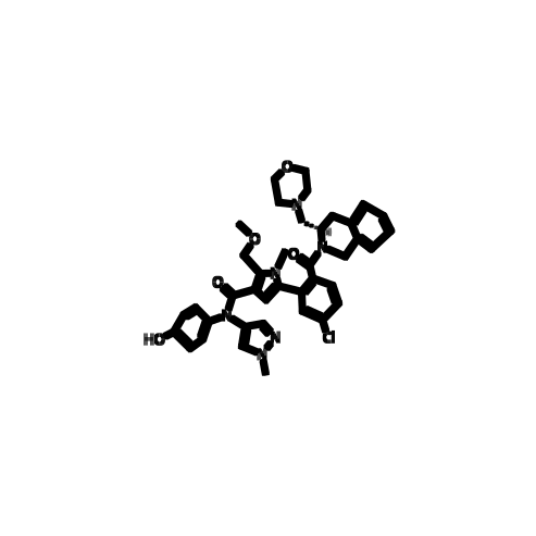 COCc1c(C(=O)N(c2ccc(O)cc2)c2cnn(C)c2)cc(-c2cc(Cl)ccc2C(=O)N2Cc3ccccc3C[C@H]2CN2CCOCC2)n1C